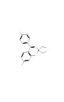 CCC1(CC)N=C(c2ccc(F)cc2)c2ccc(Cl)cc2O1